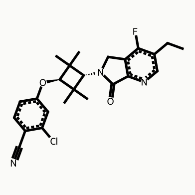 CCc1cnc2c(c1F)CN([C@H]1C(C)(C)[C@H](Oc3ccc(C#N)c(Cl)c3)C1(C)C)C2=O